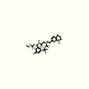 CCOC(=O)C[C@H](NC(=O)CN(CCc1ccc2c(n1)NCCC2)C(=O)OC(C)(C)C)c1cccc(F)c1